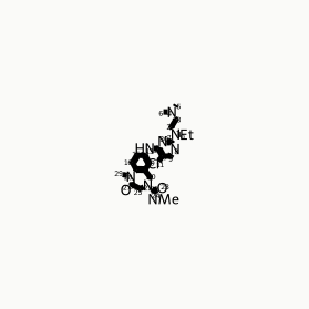 CCN(CCN(C)C)c1ncc(Cl)c(Nc2ccc3c(c2)CN(C(=O)NC)CC(=O)N3C)n1